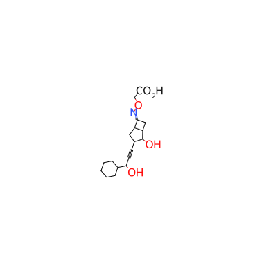 O=C(O)CON=C1CC2C1CC(C#CC(O)C1CCCCC1)C2O